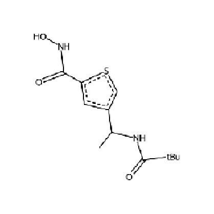 CC(NC(=O)C(C)(C)C)c1csc(C(=O)NO)c1